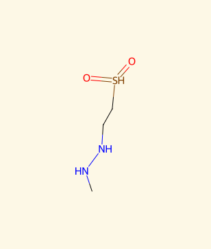 CNNCC[SH](=O)=O